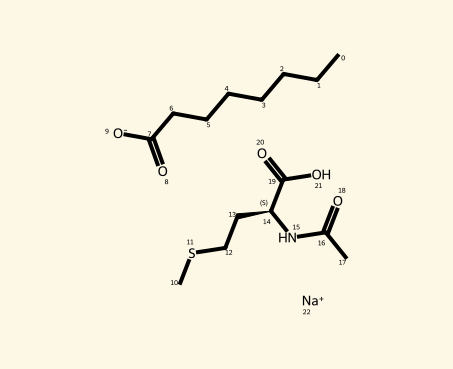 CCCCCCCC(=O)[O-].CSCC[C@H](NC(C)=O)C(=O)O.[Na+]